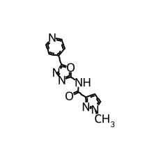 Cn1ccc(C(=O)Nc2nnc(-c3ccncc3)o2)n1